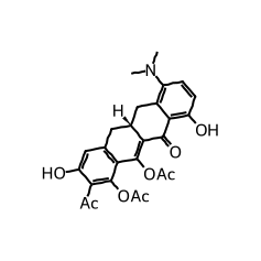 CC(=O)OC1=C2C(=O)c3c(O)ccc(N(C)C)c3C[C@H]2Cc2cc(O)c(C(C)=O)c(OC(C)=O)c21